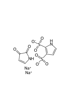 O=C1C=CNC1=O.O=S(=O)([O-])c1cc[nH]c1S(=O)(=O)[O-].[Na+].[Na+]